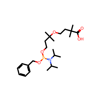 CC(C)N(C(C)C)P(OCCC(C)(C)OCCC(C)(C)C(=O)O)OCc1ccccc1